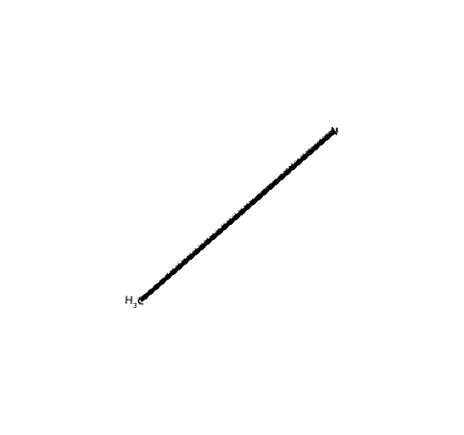 CC#CC#CC#CC#CC#CC#CC#CC#CC#CC#CC#CC#CC#CC#CC#CC#CC#CC#CC#CC#CC#CC#CC#CC#CC#CC#CC#CC#CC#CC#CC#CC#CC#CC#N